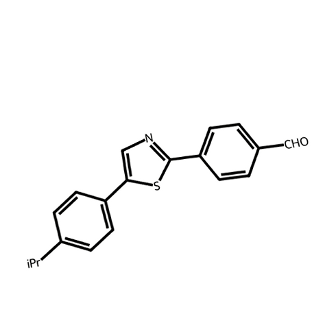 CC(C)c1ccc(-c2cnc(-c3ccc(C=O)cc3)s2)cc1